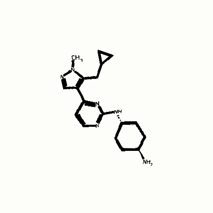 Cn1ncc(-c2ccnc(N[C@H]3CC[C@H](N)CC3)n2)c1CC1CC1